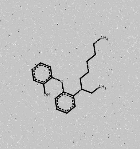 CCCCCCC(CC)c1ccccc1Oc1ccccc1O